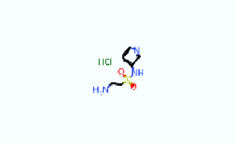 Cl.NCCS(=O)(=O)Nc1cccnc1